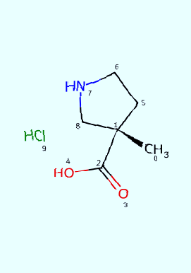 C[C@]1(C(=O)O)CCNC1.Cl